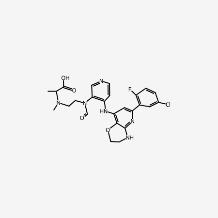 CC(C(=O)O)N(C)CCN(C=O)c1cnccc1Nc1cc(-c2cc(Cl)ccc2F)nc2c1OCCN2